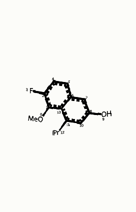 COc1c(F)ccc2cc(O)cc(C(C)C)c12